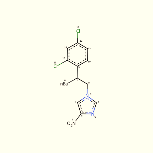 CCCCC(Cn1cnc([N+](=O)[O-])c1)c1ccc(Cl)cc1Cl